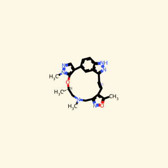 Cc1onc2c1/C=C/c1n[nH]c3ccc(cc13)-c1cnn(C)c1O[C@@H](C)CN(C)C2